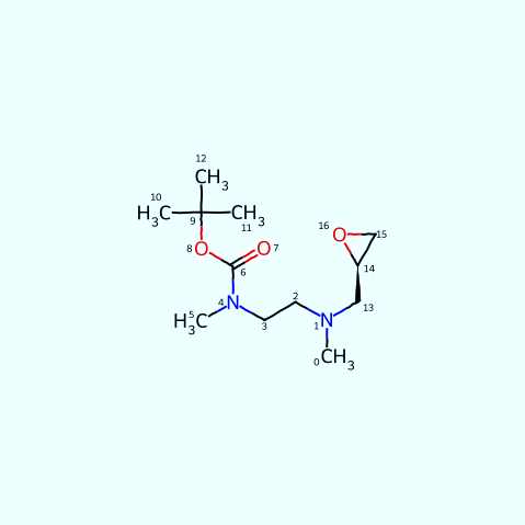 CN(CCN(C)C(=O)OC(C)(C)C)C[C@@H]1CO1